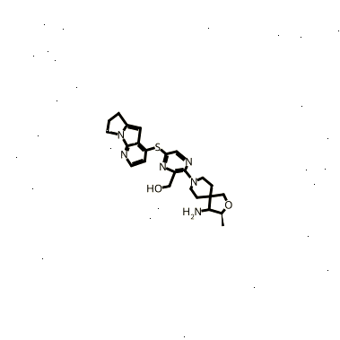 C[C@@H]1OCC2(CCN(c3ncc(Sc4ccnc5c4cc4n5CCC4)nc3CO)CC2)C1N